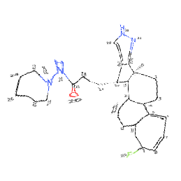 C[C@]12CCC3C4=CC=CC(F)C4CCC3C1[C@H](CCC(=O)NN1CCCCC1)c1c[nH]nc12